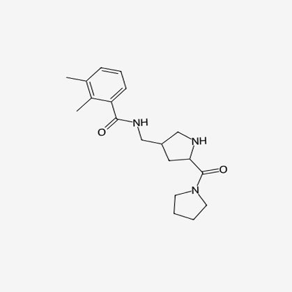 Cc1cccc(C(=O)NCC2CNC(C(=O)N3CCCC3)C2)c1C